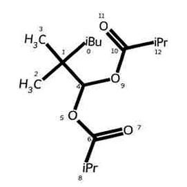 CCC(C)C(C)(C)C(OC(=O)C(C)C)OC(=O)C(C)C